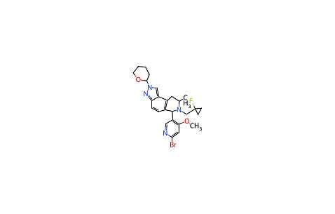 COc1cc(Br)ncc1C1c2ccc3nn(C4CCCCO4)cc3c2CC(C)N1CC1(F)CC1